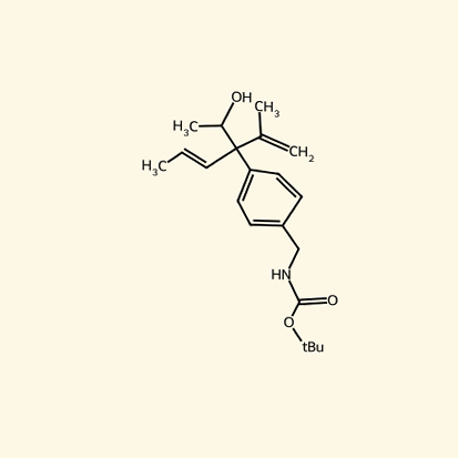 C=C(C)C(/C=C/C)(c1ccc(CNC(=O)OC(C)(C)C)cc1)C(C)O